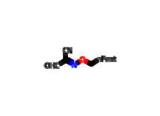 CCCCCCO/N=C(/[C]=O)C#N